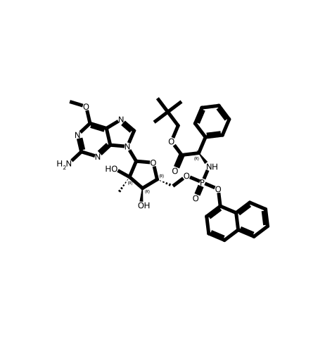 COc1nc(N)nc2c1ncn2C1O[C@H](COP(=O)(N[C@@H](C(=O)OCC(C)(C)C)c2ccccc2)Oc2cccc3ccccc23)[C@@H](O)[C@@]1(C)O